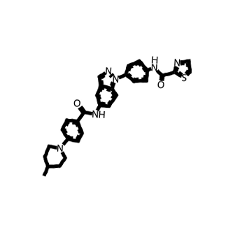 CC1CCN(c2ccc(C(=O)Nc3ccc4c(cnn4-c4ccc(NC(=O)c5nccs5)cc4)c3)cc2)CC1